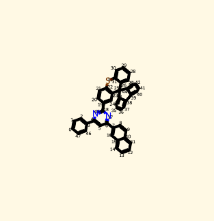 c1ccc(-c2cc(-c3ccc4ccccc4c3)nc(-c3ccc4c(c3)C3(c5ccccc5S4)c4ccccc4-c4ccccc43)n2)cc1